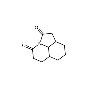 O=C1CCC2CCCC3CC(=O)N1C23